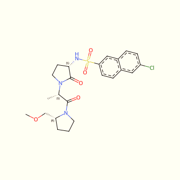 COC[C@H]1CCCN1C(=O)[C@H](C)N1CC[C@H](NS(=O)(=O)c2ccc3cc(Cl)ccc3c2)C1=O